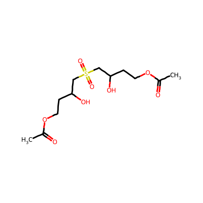 CC(=O)OCCC(O)CS(=O)(=O)CC(O)CCOC(C)=O